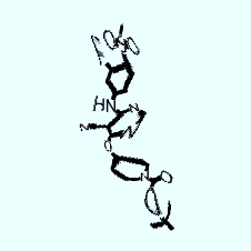 CC(C)(C)OC(=O)N1CCC(Oc2ncnc(Nc3ccc(S(C)(=O)=O)c(F)c3)c2C#N)CC1